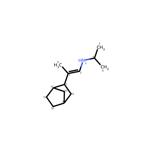 C/C(=C\NC(C)C)C1CC2CCC1C2